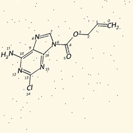 C=CCOC(=O)n1cnc2c(N)nc(Cl)nc21